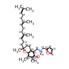 CC(C)=CCC/C(C)=C/CC/C(C)=C/CC[C@]1(C)CCc2c3c(c(C)c(C)c2O1)OCN(Cc1ccco1)C3